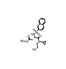 CC(C)(C)OC(=O)C[C@H](NS(=O)(=O)c1ccc2ccccc2c1)C(=O)N(CCC#N)C1CC1